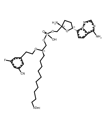 CCCCCCCCCCCCCCCCCCCC[C@H](COP(=O)(O)OC[C@]1(N)CC[C@H](c2ccc3c(N)ncnn23)O1)OCCc1cc(F)cc(C#N)c1